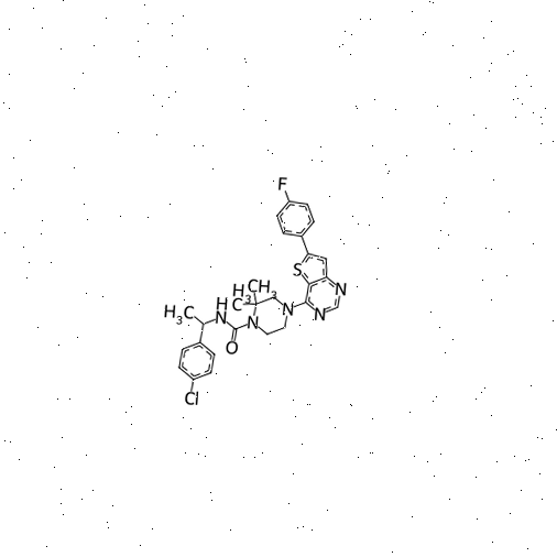 CC(NC(=O)N1CCN(c2ncnc3cc(-c4ccc(F)cc4)sc23)CC1(C)C)c1ccc(Cl)cc1